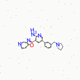 Nc1ncc(-c2cccc(CN3CCCC3)c2)cc1-c1nc2cnccc2o1